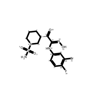 NS(=O)(=O)N1CCC[C@H](C(=O)/C(=N/O)Nc2ccc(F)c(Br)c2)C1